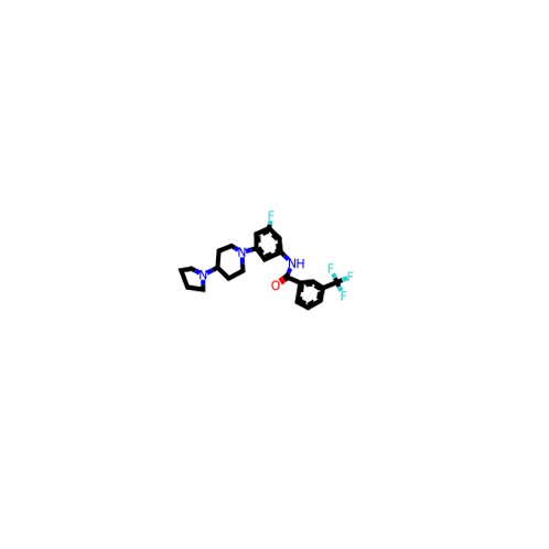 O=C(Nc1cc(F)cc(N2CCC(N3CCCC3)CC2)c1)c1cccc(C(F)(F)F)c1